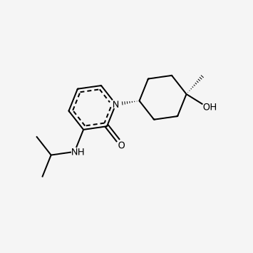 CC(C)Nc1cccn([C@H]2CC[C@](C)(O)CC2)c1=O